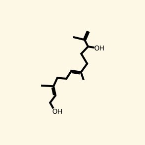 C=C(C)C(O)CCC(C)=CCCC(C)=CCO